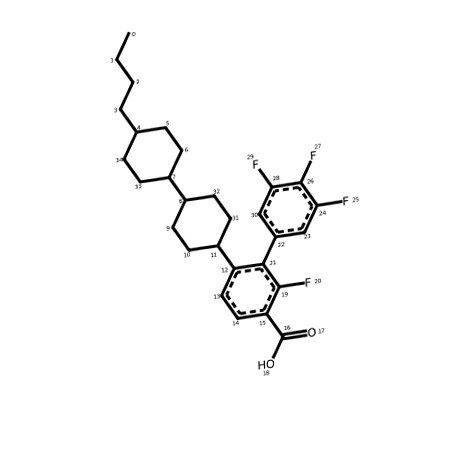 CCCCC1CCC(C2CCC(c3ccc(C(=O)O)c(F)c3-c3cc(F)c(F)c(F)c3)CC2)CC1